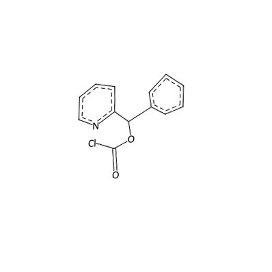 O=C(Cl)OC(c1ccccc1)c1ccccn1